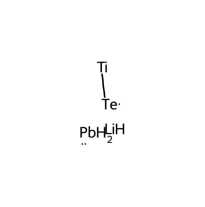 [LiH].[PbH2].[Ti][Te]